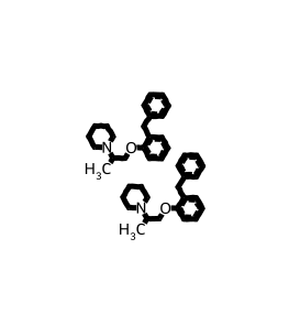 CC(COc1ccccc1Cc1ccccc1)N1CCCCC1.CC(COc1ccccc1Cc1ccccc1)N1CCCCC1